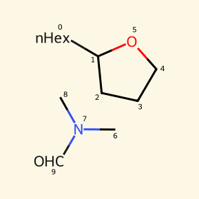 CCCCCCC1CCCO1.CN(C)C=O